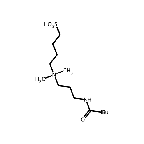 CCC(C)C(=O)NCCC[N+](C)(C)CCCCS(=O)(=O)O